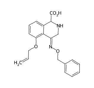 C=CCOc1cccc2c1C(=NOCc1ccccc1)CNC2C(=O)O